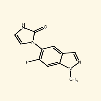 Cn1ncc2cc(-n3cc[nH]c3=O)c(F)cc21